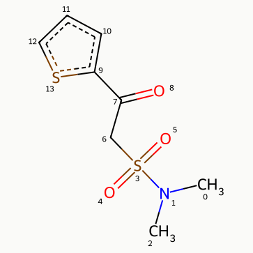 CN(C)S(=O)(=O)CC(=O)c1cccs1